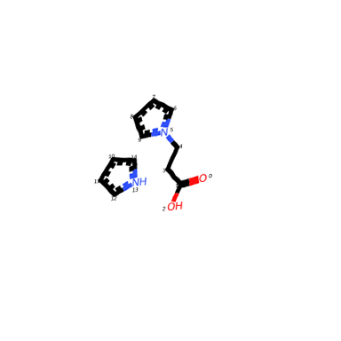 O=C(O)CCn1cccc1.c1cc[nH]c1